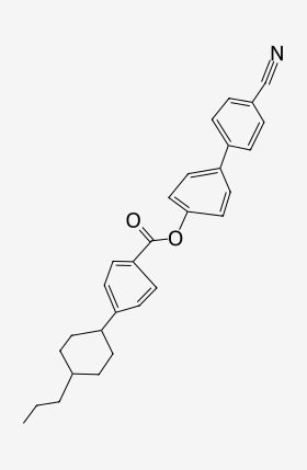 CCCC1CCC(c2ccc(C(=O)Oc3ccc(-c4ccc(C#N)cc4)cc3)cc2)CC1